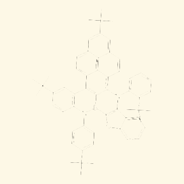 CC(C)(C)c1ccc(N2B3c4sc5ccccc5c4N(c4ccccc4C(C)(C)C)c4c3c(c3ccc5cc(C(C)(C)C)cc6ccc4c3c56)-c3cc(C(C)(C)C)ccc32)cc1